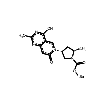 Cc1nc(O)c2cn([C@@H]3C[C@@H](C)N(C(=O)OC(C)(C)C)C3)c(=O)cc2n1